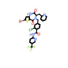 O=C(Nc1ccc(C(F)(F)F)cn1)c1ccc(CN2C(=O)c3sc(Br)cc3NC(=O)C2Cc2ccccn2)cc1Cl